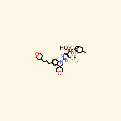 CC1CC2CC(C1)C(NC(=O)c1cnc(N3CC4(CCOCC4)c4cc(CCCC5CCOCC5)ccc43)nc1C(F)(F)F)(C(=O)O)C2